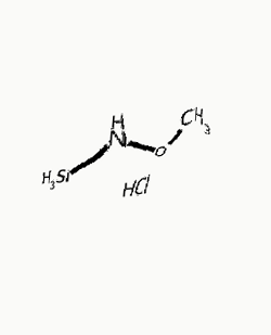 CON[SiH3].Cl